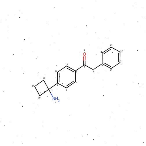 NC1(c2ccc(C(=O)Cc3ccccc3)cc2)CCC1